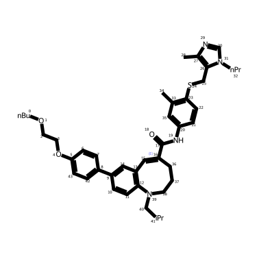 CCCCOCCOc1ccc(-c2ccc3c(c2)/C=C(/C(=O)Nc2ccc(SCc4c(C)ncn4CCC)c(C)c2)CCCN3CC(C)C)cc1